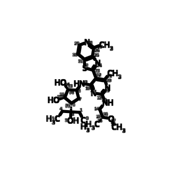 CCC(O)(CC)[C@H]1CC(Nc2nc(NC[C@@H](C)OC)nc(C)c2-c2nc3c(C)nccc3s2)[C@H](O)[C@@H]1O